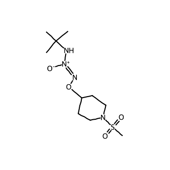 CC(C)(C)N/[N+]([O-])=N/OC1CCN(S(C)(=O)=O)CC1